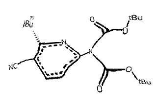 CC[C@@H](C)c1nc(N(C(=O)OC(C)(C)C)C(=O)OC(C)(C)C)ccc1C#N